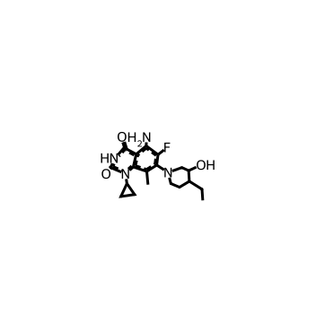 CCC1CCN(c2c(F)c(N)c3c(=O)[nH]c(=O)n(C4CC4)c3c2C)CC1O